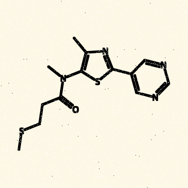 CSCCC(=O)N(C)c1sc(-c2cncnc2)nc1C